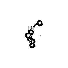 [I-].c1ccc(CCNc2ccc3c(ccc4c[n+]5c6ccccc6ccc5n43)c2)cc1